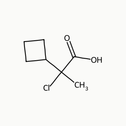 CC(Cl)(C(=O)O)C1CCC1